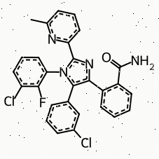 Cc1cccc(-c2nc(-c3ccccc3C(N)=O)c(-c3cccc(Cl)c3)n2-c2cccc(Cl)c2F)n1